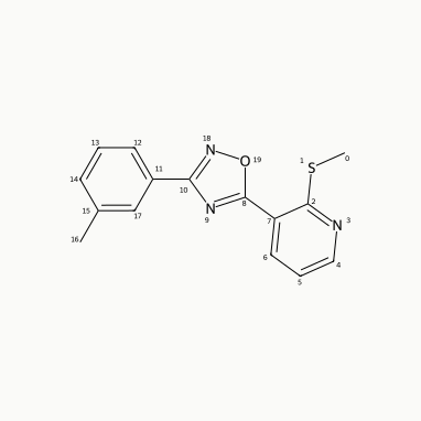 CSc1ncccc1-c1nc(-c2cccc(C)c2)no1